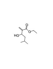 C=C(C(=O)OCC)C(O)CC(C)C